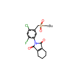 CCCCS(=O)(=O)Cc1cc(N2C(=O)C3=C(CCCC3)C2=O)c(F)cc1Cl